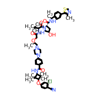 Cc1ncsc1-c1ccc([C@H](C)NC(=O)[C@@H]2C[C@@H](O)CN2C(=O)[C@@H](NC(=O)CO[C@H](C)CN2CCN(c3ccc(C(=O)NC4C(C)(C)C(Oc5ccc(C#N)c(Cl)c5)C4(C)C)cc3)CC2)C(C)(C)C)cc1